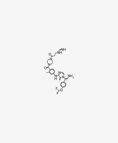 C=C1C(Nc2ccc(C(=O)N3CCN(C(=O)CCNC=N)CC3)c(C)c2)=NC=CN1/C(=C\N)c1ccc(OC(F)F)cc1